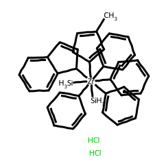 CC1=CC[C]([Zr]([SiH3])([SiH3])([c]2ccccc2)([c]2ccccc2)([c]2ccccc2)([c]2ccccc2)[CH]2C=Cc3ccccc32)=C1.Cl.Cl